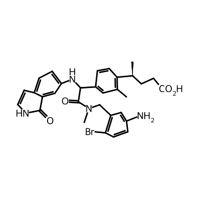 Cc1cc(C(Nc2ccc3cc[nH]c(=O)c3c2)C(=O)N(C)Cc2cc(N)ccc2Br)ccc1[C@@H](C)CCC(=O)O